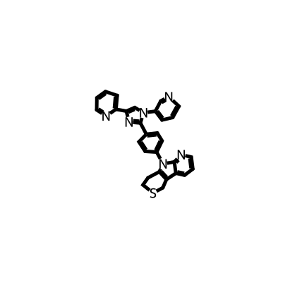 c1ccc(-c2cn(-c3cccnc3)c(-c3ccc(-n4c5c(c6cccnc64)CSCC5)cc3)n2)nc1